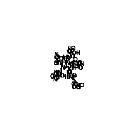 CN1C=CC(C(=O)NCCN(CCNC(=O)c2ccn(C)c(=O)c2O)CC(Cc2ccc(NC(=O)CCC(=O)CN3C(=O)CCC3=O)cc2)CN(CCNC(=O)c2ccn(C)c(=O)c2O)CCNC(=O)c2ccn(C)c(=O)c2O)=C(O)C1